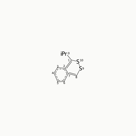 CC(C)C1=c2ccccc2=CSS1